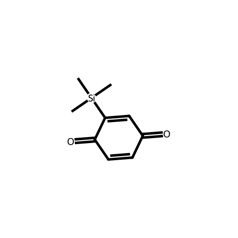 C[Si](C)(C)C1=CC(=O)C=CC1=O